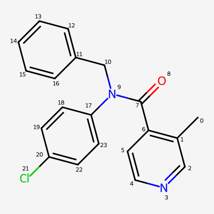 Cc1cnccc1C(=O)N(Cc1ccccc1)c1ccc(Cl)cc1